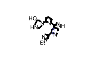 C=c1[nH]nc(-c2cccc(N3CCNC[C@H](O)C3)n2)/c1=C/C(=N\C)c1cnn(CC)c1